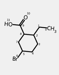 CCC1CCC(Br)CC1C(=O)O